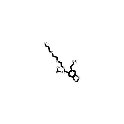 CCCCOCCOCCOCc1cc2c(cc1CCC)OCO2.CCO.[Ti]